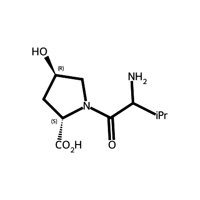 CC(C)C(N)C(=O)N1C[C@H](O)C[C@H]1C(=O)O